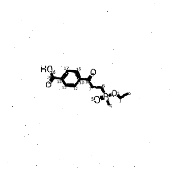 CCOP(C)(=O)CCC(=O)c1ccc(C(=O)O)cc1